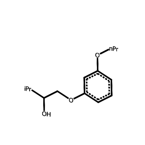 CCCOc1cccc(OCC(O)C(C)C)c1